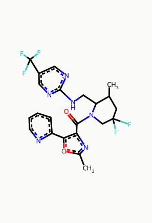 Cc1nc(C(=O)N2CC(F)(F)CC(C)C2CNc2ncc(C(F)(F)F)cn2)c(-c2ccccn2)o1